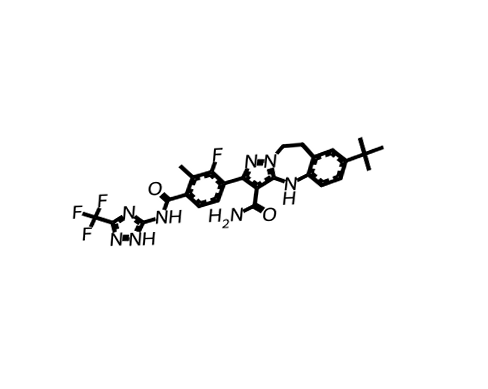 Cc1c(C(=O)Nc2nc(C(F)(F)F)n[nH]2)ccc(-c2nn3c(c2C(N)=O)Nc2ccc(C(C)(C)C)cc2CC3)c1F